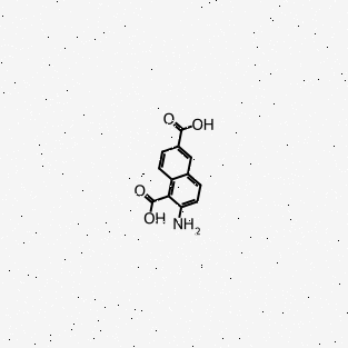 Nc1ccc2cc(C(=O)O)ccc2c1C(=O)O